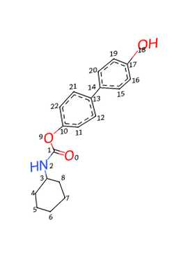 O=C(NC1CCCCC1)Oc1ccc(-c2ccc(O)cc2)cc1